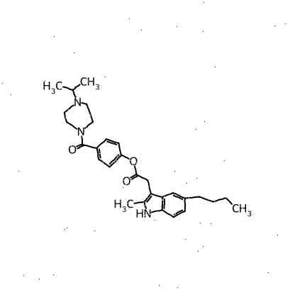 CCCCc1ccc2[nH]c(C)c(CC(=O)Oc3ccc(C(=O)N4CCN(C(C)C)CC4)cc3)c2c1